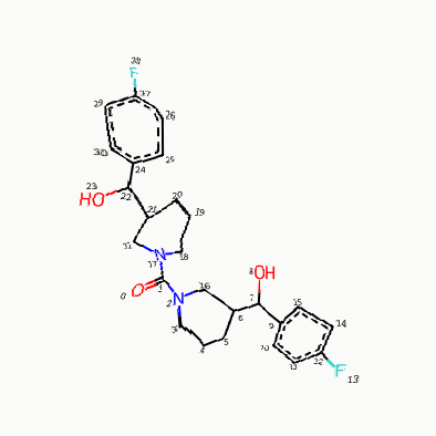 O=C(N1CCCC(C(O)c2ccc(F)cc2)C1)N1CCCC(C(O)c2ccc(F)cc2)C1